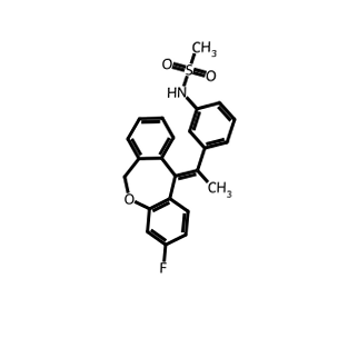 C/C(=C1/c2ccccc2COc2cc(F)ccc21)c1cccc(NS(C)(=O)=O)c1